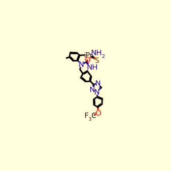 Cc1ccc(C(C)C)c(N(Cc2ccc(-c3ncn(-c4ccc(OC(F)(F)F)cc4)n3)cc2)C(=N)OC(N)=S)c1